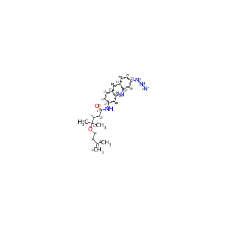 CC(C)CCOC(C)(C)CCC(=O)Nc1ccc2cc3ccc(N=[N+]=[N-])cc3nc2c1